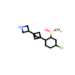 C[S+]([O-])C1CC(Cl)CCC1C12CC(C3CNC3)(C1)C2